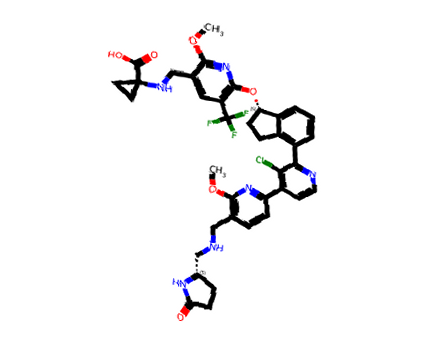 COc1nc(-c2ccnc(-c3cccc4c3CC[C@@H]4Oc3nc(OC)c(CNC4(C(=O)O)CC4)cc3C(F)(F)F)c2Cl)ccc1CNC[C@@H]1CCC(=O)N1